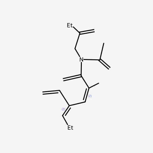 C=CC(=C/CC)/C=C(/C)C(=C)N(CC(=C)CC)C(=C)C